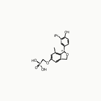 Cc1cc(OCP(=O)(O)O)cc2c1[C@@H](c1ccc(O)c(C(C)C)c1)OC2